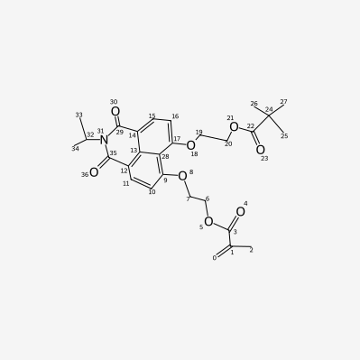 C=C(C)C(=O)OCCOc1ccc2c3c(ccc(OCCOC(=O)C(C)(C)C)c13)C(=O)N(C(C)C)C2=O